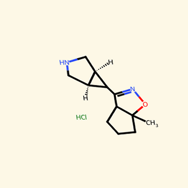 CC12CCCC1C(C1[C@H]3CNC[C@@H]13)=NO2.Cl